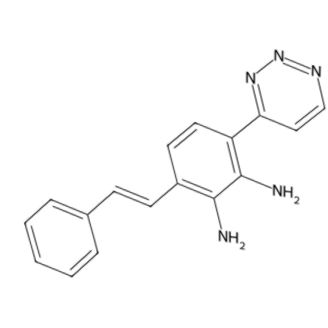 Nc1c(C=Cc2ccccc2)ccc(-c2ccnnn2)c1N